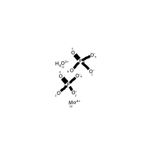 O=P([O-])([O-])[O-].O=P([O-])([O-])[O-].[Mo+4].[OH4+2]